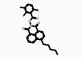 CCCCCc1ccc2c3c(cccc13)C(=O)N(OC(=O)c1c(I)ccc(I)c1I)C2=O